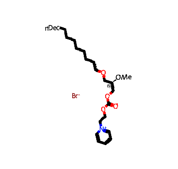 CCCCCCCCCCCCCCCCCCOC[C@@H](COC(=O)OCC[n+]1ccccc1)OC.[Br-]